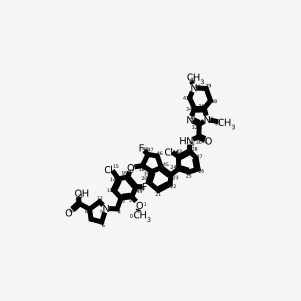 COc1c(CN2CCC(C(=O)O)C2)cc(Cl)c(OC2c3cccc(-c4cccc(NC(=O)c5nc6c(n5C)CCN(C)C6)c4Cl)c3CC2F)c1F